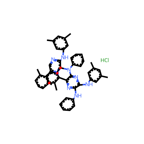 Cc1cc(C)cc(Nc2nc(N(c3ccccc3)c3nc(-c4c(C)cccc4C)cnc3Nc3cc(C)cc(C)c3)c(-c3c(C)cccc3C)nc2Nc2ccccc2)c1.Cl